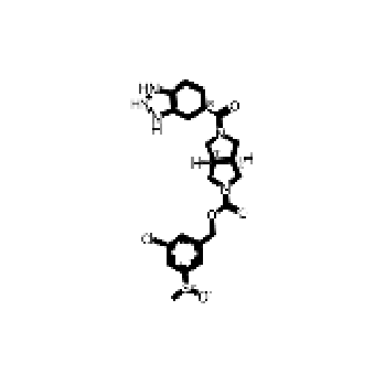 C[S+]([O-])c1cc(Cl)cc(COC(=O)N2C[C@@H]3CN(C(=O)[C@@H]4CCC5=C(C4)NNN5)C[C@H]3C2)c1